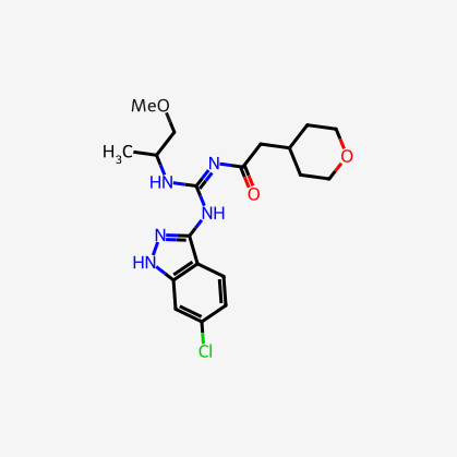 COCC(C)N/C(=N/C(=O)CC1CCOCC1)Nc1n[nH]c2cc(Cl)ccc12